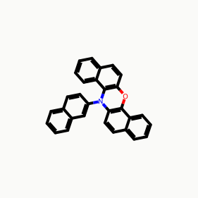 c1ccc2cc(N3c4ccc5ccccc5c4Oc4ccc5ccccc5c43)ccc2c1